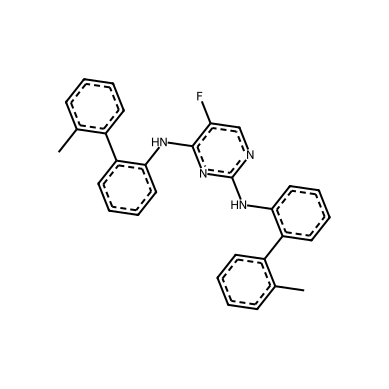 Cc1ccccc1-c1ccccc1Nc1ncc(F)c(Nc2ccccc2-c2ccccc2C)n1